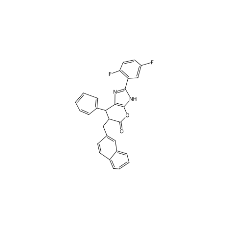 O=C1Oc2[nH]c(-c3cc(F)ccc3F)nc2C(c2ccccc2)C1Cc1ccc2ccccc2c1